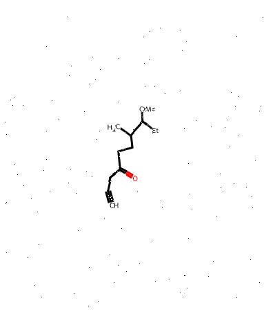 C#CCC(=O)CCC(C)C(CC)OC